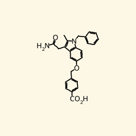 Cc1c(CC(N)=O)c2cc(OCc3ccc(C(=O)O)cc3)ccc2n1Cc1ccccc1